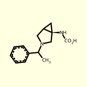 CC(c1ccccc1)N1CC2C[C@]2(NC(=O)O)C1